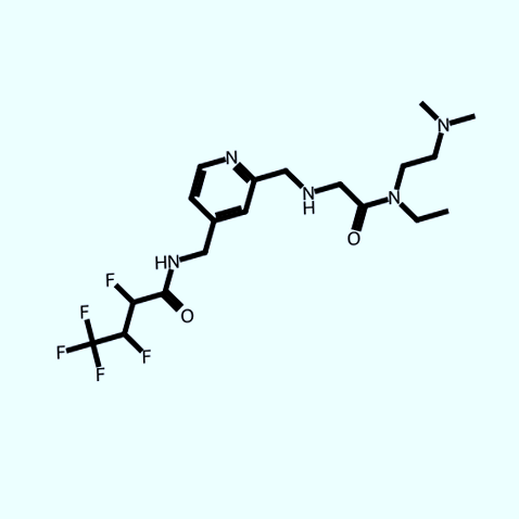 CCN(CCN(C)C)C(=O)CNCc1cc(CNC(=O)C(F)C(F)C(F)(F)F)ccn1